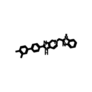 Cc1ccc(-c2ccc(-c3nc4c([nH]3)C=CN(Cc3nc5ccccc5n3C)C4)cc2)cc1C